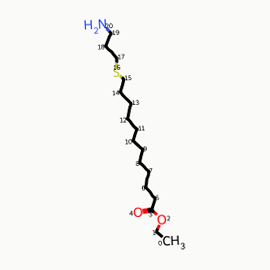 CCOC(=O)CCCCCCCCCCCSCCCN